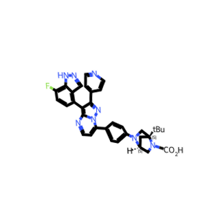 CC(C)(C)[C@]12C[C@@H](CN1C(=O)O)N(c1ccc(-c3ccnc4c(-c5ccc(F)c6[nH]ncc56)c(-c5ccncc5)nn34)cc1)C2